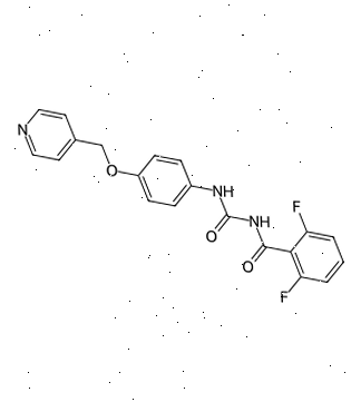 O=C(NC(=O)c1c(F)cccc1F)Nc1ccc(OCc2ccncc2)cc1